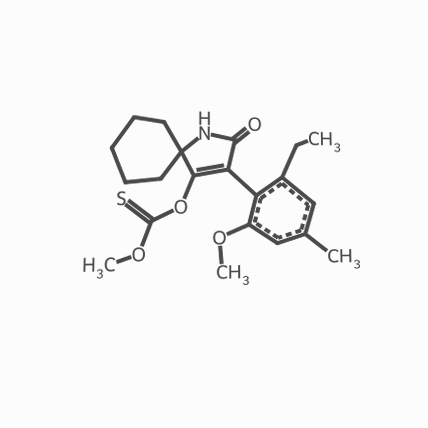 CCc1cc(C)cc(OC)c1C1=C(OC(=S)OC)C2(CCCCC2)NC1=O